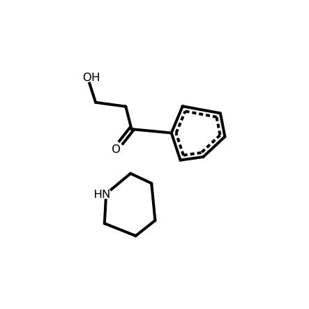 C1CCNCC1.O=C(CCO)c1ccccc1